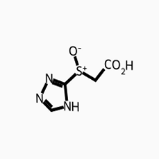 O=C(O)C[S+]([O-])c1nnc[nH]1